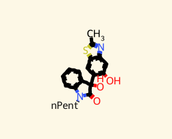 CCCCCN1C(=O)C(O)(c2cc3sc(C)nc3cc2O)c2ccccc21